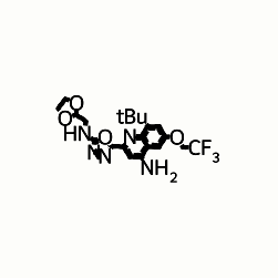 CC(C)(C)c1cc(OCC(F)(F)F)cc2c(N)cc(-c3nnc(NCC4OCCO4)o3)nc12